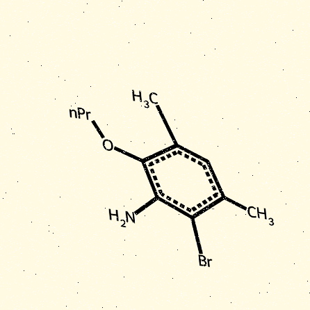 CCCOc1c(C)cc(C)c(Br)c1N